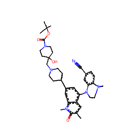 Cc1cc2c(N3CCN(C)c4ccc(C#N)cc43)cc(C3CCN(CC4(O)CCN(C(=O)OC(C)(C)C)CC4)CC3)cc2n(C)c1=O